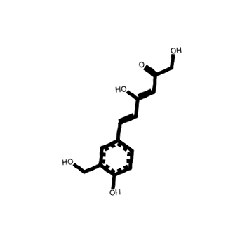 O=C(/C=C(O)/C=C/c1ccc(O)c(CO)c1)CO